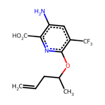 C=CCC(C)Oc1nc(C(=O)O)c(N)cc1C(F)(F)F